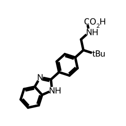 CC(C)(C)C(CNC(=O)O)c1ccc(-c2nc3ccccc3[nH]2)cc1